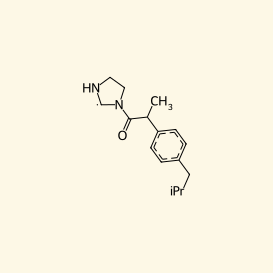 CC(C)Cc1ccc(C(C)C(=O)N2[CH]NCC2)cc1